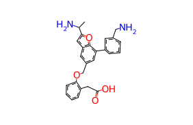 CC(N)c1cc2cc(COc3ccccc3CC(=O)O)cc(-c3cccc(CN)c3)c2o1